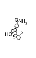 NC(=O)c1ccc(OCc2c(C(=O)O)sc3cccc(C4CC4)c23)cc1